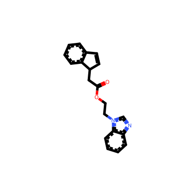 O=C(CC1C=Cc2ccccc21)OCCn1cnc2ccccc21